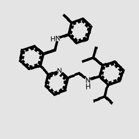 Cc1ccccc1NCc1ccccc1-c1cccc(CNc2c(C(C)C)cccc2C(C)C)n1